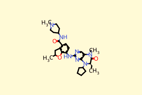 CC[C@@H]1C(=O)N(C)c2cnc(Nc3ccc(C(=O)NC4CCN(C)CC4)c4c3OC(C)C4)nc2N1C1CCCC1